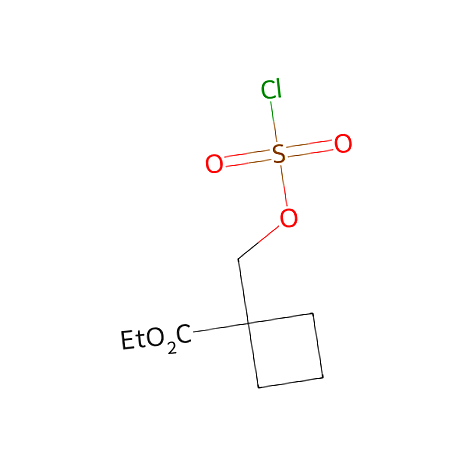 CCOC(=O)C1(COS(=O)(=O)Cl)CCC1